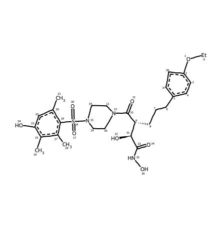 CCOc1ccc(CCC[C@@H](C(=O)N2CCN(S(=O)(=O)c3c(C)cc(O)c(C)c3C)CC2)[C@H](O)C(=O)NO)cc1